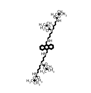 CC(C)(C)OC(=O)NCCCCN(CCCCNCc1c2ccccc2c(CNCCCCN(CCCCNC(=O)OC(C)(C)C)C(=O)OC(C)(C)C)c2ccccc12)C(=O)OC(C)(C)C